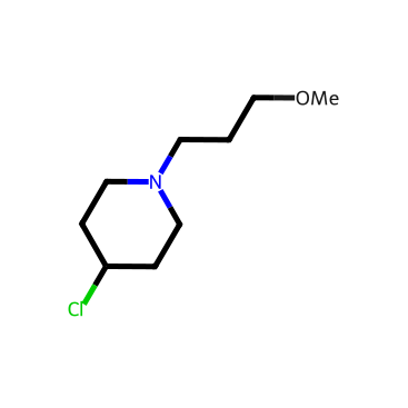 COCCCN1CCC(Cl)CC1